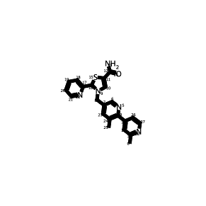 Cc1cc(-c2ncc(CN3C=C(C(N)=O)SC3c3ccccn3)cc2C)ccn1